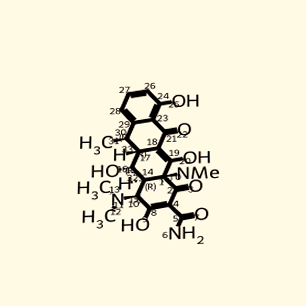 CN[C@@]12C(=O)C(C(N)=O)=C(O)[C@@H](N(C)C)[C@H]1[C@H](O)[C@H]1C(=C2O)C(=O)c2c(O)cccc2[C@@H]1C